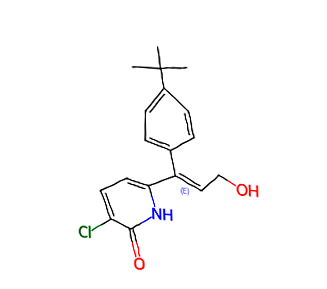 CC(C)(C)c1ccc(/C(=C\CO)c2ccc(Cl)c(=O)[nH]2)cc1